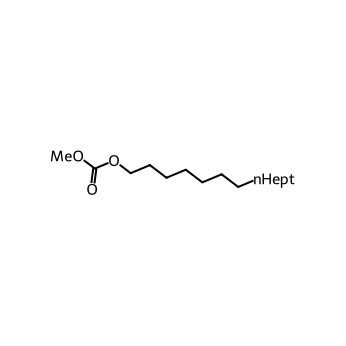 CCCCCCCCCCCCCCOC(=O)OC